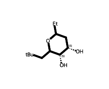 CCC1C[C@H](O)[C@H](O)C(CC(C)(C)C)O1